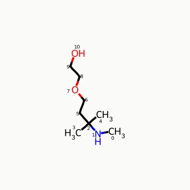 CNC(C)(C)CCOCCO